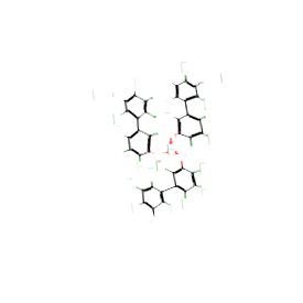 Cc1c(F)c(F)c(F)c(-c2c(F)c(F)c(F)c(OB(Oc3c(F)c(F)c(F)c(-c4c(F)c(C)c(F)c(F)c4F)c3F)Oc3c(F)c(F)c(F)c(-c4c(F)c(C)c(F)c(F)c4F)c3F)c2F)c1F